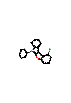 Brc1cccc2oc3c(c4ccccc4n3-c3ccccc3)c12